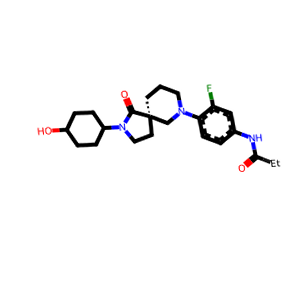 CCC(=O)Nc1ccc(N2CCC[C@@]3(CCN(C4CCC(O)CC4)C3=O)C2)c(F)c1